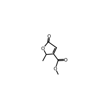 COC(=O)C1=CC(=O)OC1C